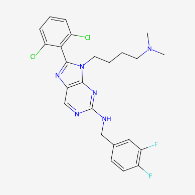 CN(C)CCCCn1c(-c2c(Cl)cccc2Cl)nc2cnc(NCc3ccc(F)c(F)c3)nc21